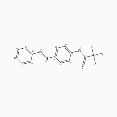 CC(C)(C)C(=O)Oc1ccc(/N=N/c2ccccc2)cc1